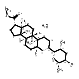 COC(=O)[C@H]1CC[C@@]2(N)[C@@H]3CC[C@@H]4C[C@@H]([C@H]5O[C@@H](C)[C@H](O)C[C@H]5O)CC[C@]4(C)[C@H]3CC[C@]12C.O